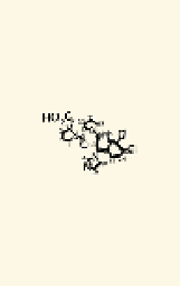 O=C(O)C[C@@H]1CCCN1C(=O)[C@@H]1CCCN1c1cc(-n2ccnc2)c2ccc(Cl)c(Cl)c2n1